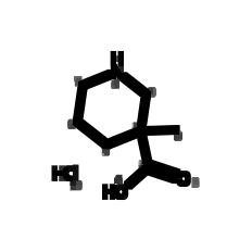 CC1(C(=O)O)CCCNC1.Cl